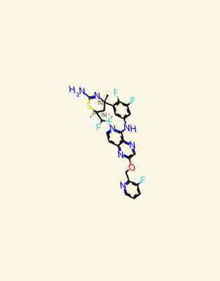 C[C@H]1[C@@](C)(c2cc(Nc3nccc4nc(OCc5ncccc5F)cnc34)cc(F)c2F)N=C(N)S[C@]1(C)C(F)F